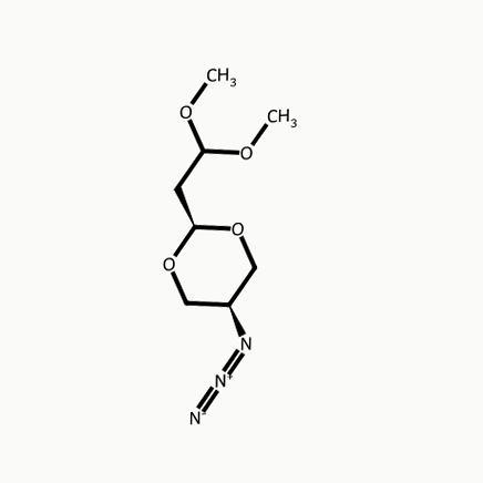 COC(C[C@H]1OC[C@@H](N=[N+]=[N-])CO1)OC